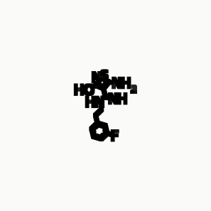 N=C(NCCc1cccc(F)c1)c1c(O)nsc1N